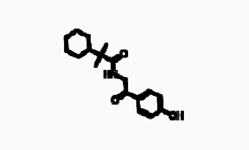 CC(C)(C(=O)NCC(=O)c1ccc(O)cc1)C1CCCCC1